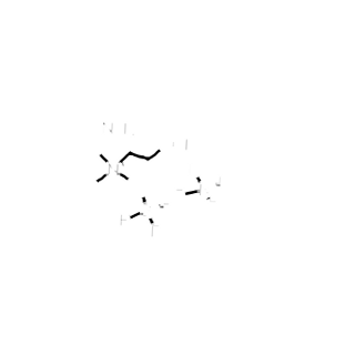 C[N+](C)(C)CCO.F[B-](F)(F)F.F[B-](F)(F)F.[NH4+]